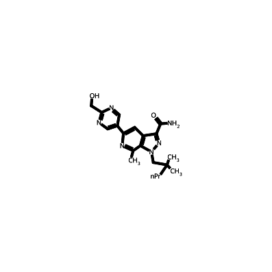 CCCC(C)(C)Cn1nc(C(N)=O)c2cc(-c3cnc(CO)nc3)nc(C)c21